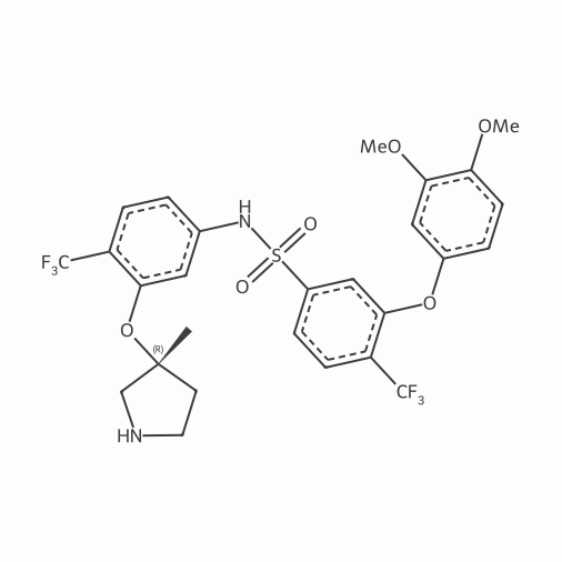 COc1ccc(Oc2cc(S(=O)(=O)Nc3ccc(C(F)(F)F)c(O[C@]4(C)CCNC4)c3)ccc2C(F)(F)F)cc1OC